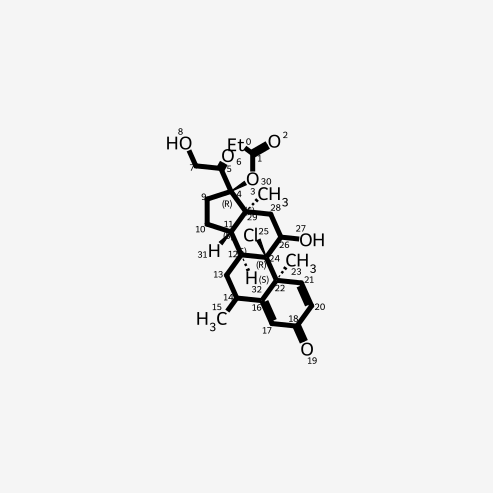 CCC(=O)O[C@]1(C(=O)CO)CC[C@H]2[C@@H]3CC(C)C4=CC(=O)C=C[C@]4(C)[C@@]3(Cl)C(O)C[C@@]21C